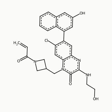 C=CC(=O)N1CC(Cn2c(=O)c(NCCO)nc3cc(-c4cc(O)cc5ccccc45)c(Cl)cc32)C1